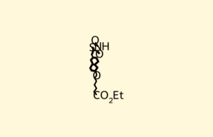 CCOC(=O)CCCCCOc1ccc2cc(C=C3SC(=O)NC3=O)ccc2c1